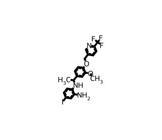 COc1cc(C(C)Nc2ccc(I)cc2N)ccc1OCc1ccc(C(F)(F)F)nc1